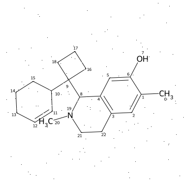 Cc1cc2c(cc1O)C(C1(C3C=CCCC3)CCC1)N(C)CC2